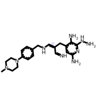 CN1CCN(c2ccc(CN/C=C(\C=N)Cc3cc(N)nc(NN)c3N)cc2)CC1